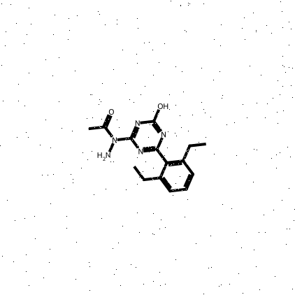 CCc1cccc(CC)c1-c1nc(O)nc(N(N)C(C)=O)n1